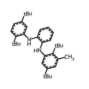 Cc1cc(C(C)(C)C)cc(Nc2ccccc2Nc2cc(C(C)(C)C)ccc2C(C)(C)C)c1C(C)(C)C